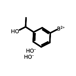 [B+2]c1cccc(C(C)O)c1.[OH-].[OH-]